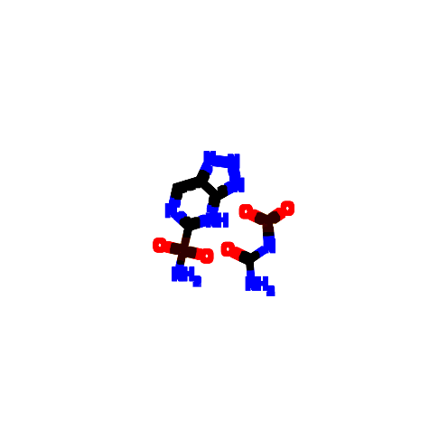 NC(=O)N=S(=O)=O.NS(=O)(=O)c1ncc2nnnc-2[nH]1